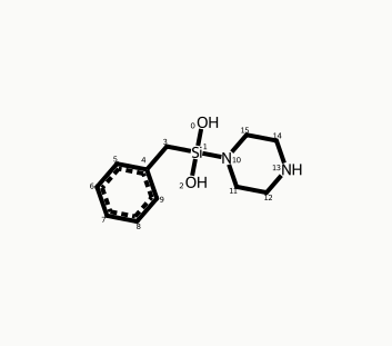 O[Si](O)(Cc1ccccc1)N1CCNCC1